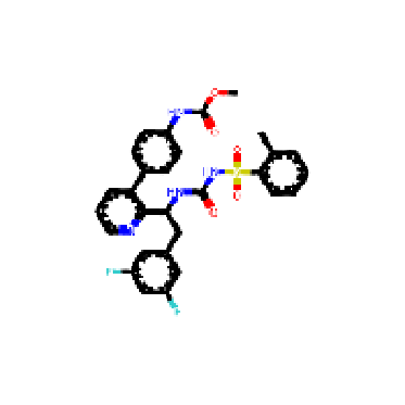 COC(=O)Nc1ccc(-c2cccnc2C(Cc2cc(F)cc(F)c2)NC(=O)NS(=O)(=O)c2ccccc2C)cc1